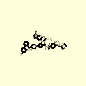 C[C@@H]1CN(c2cc(N3CCC(C(O)c4ccccc4-c4ccc(Cl)cc4)CC3)ccc2C(=O)NS(=O)(=O)c2ccc(NC[C@@H]3COCCO3)c([N+](=O)[O-])c2)c2cc3cc[nH]c3nc2O1